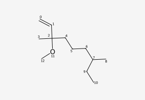 C=CC(C)(CCCC(C)CC)OC